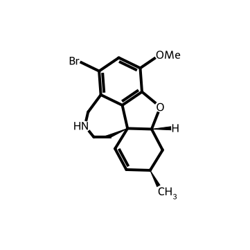 COc1cc(Br)c2c3c1O[C@@H]1C[C@@H](C)C=C[C@]31CCNC2